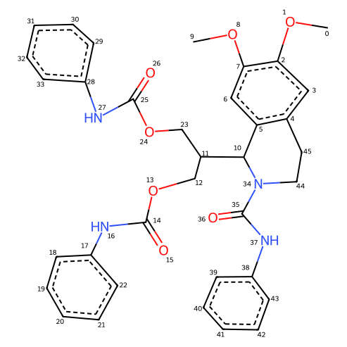 COc1cc2c(cc1OC)C(C(COC(=O)Nc1ccccc1)COC(=O)Nc1ccccc1)N(C(=O)Nc1ccccc1)CC2